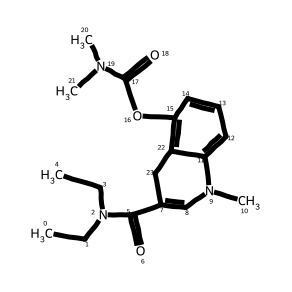 CCN(CC)C(=O)C1=CN(C)c2cccc(OC(=O)N(C)C)c2C1